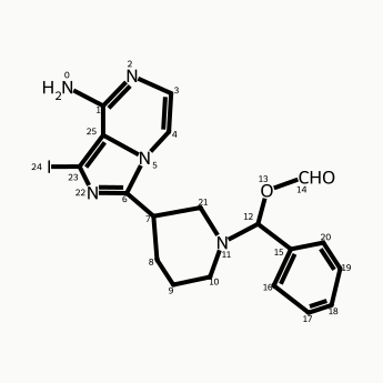 Nc1nccn2c(C3CCCN(C(OC=O)c4ccccc4)C3)nc(I)c12